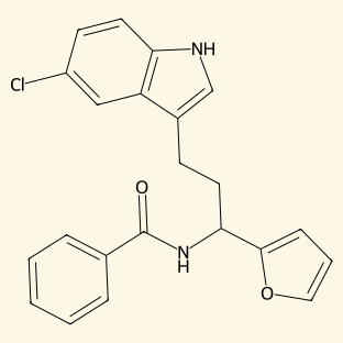 O=C(NC(CCc1c[nH]c2ccc(Cl)cc12)c1ccco1)c1ccccc1